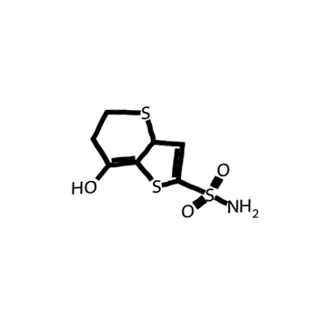 NS(=O)(=O)C1=CC2SCCC(O)=C2S1